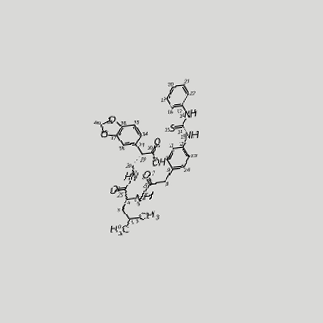 CC(C)C[C@H](NC(=O)Cc1ccc(NC(=S)Nc2ccccc2)cc1)C(=O)NC[C@@H](C(=O)O)c1ccc2c(c1)OCO2